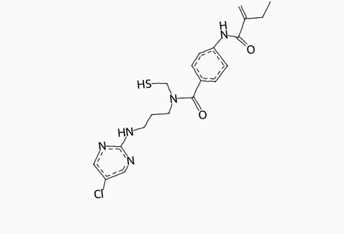 C=C(CC)C(=O)Nc1ccc(C(=O)N(CS)CCCNc2ncc(Cl)cn2)cc1